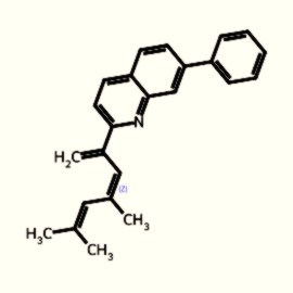 C=C(/C=C(/C)C=C(C)C)c1ccc2ccc(-c3ccccc3)cc2n1